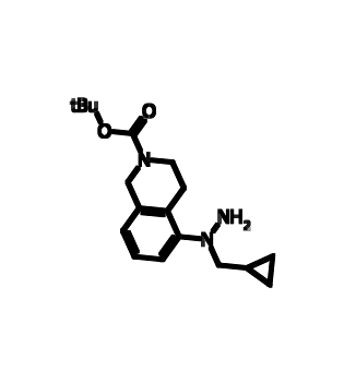 CC(C)(C)OC(=O)N1CCc2c(cccc2N(N)CC2CC2)C1